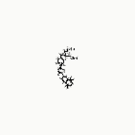 CC1(C)CCC(C)(C)c2cc(-c3csc(N4CCC(CN(CCO)CCO)CC4)n3)ccc21